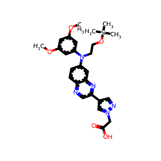 COc1cc(OC)cc(N(CCO[Si](C)(C)C)c2ccc3ncc(-c4cnn(CC(=O)O)c4)nc3c2)c1